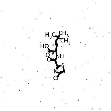 CC(C)(C)/C=C/[C@@H](NC(=O)c1nc(Cl)cs1)C(=O)O